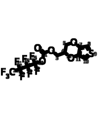 O=C(OCC1COc2cscc2O1)OC(F)(F)C(F)(F)C(F)(F)C(F)(F)F